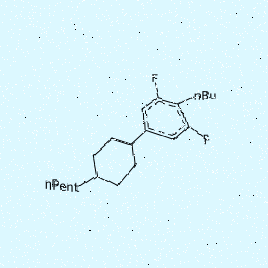 CCCCCC1CCC(c2cc(F)c(CCCC)c(F)c2)CC1